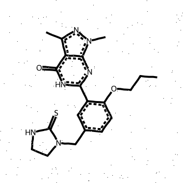 CCCOc1ccc(CN2CCNC2=S)cc1-c1nc2c(c(C)nn2C)c(=O)[nH]1